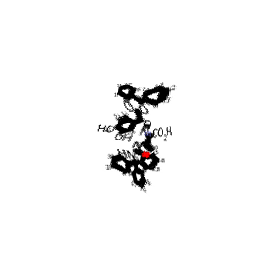 O=C(O)/C(=N\O[C@@H](C(=O)OC(c1ccccc1)c1ccccc1)c1ccc(O)c(O)c1)c1csc(NC(c2ccccc2)(c2ccccc2)c2ccccc2)n1